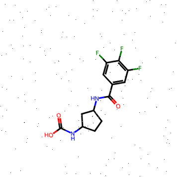 O=C(O)NC1CCC(NC(=O)c2cc(F)c(F)c(F)c2)C1